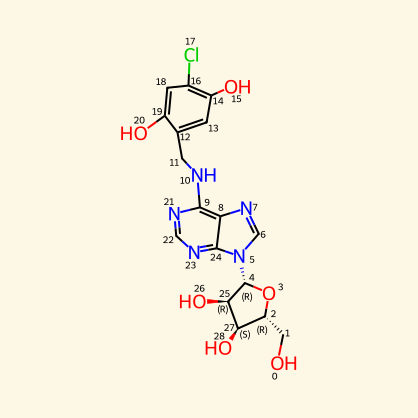 OC[C@H]1O[C@@H](n2cnc3c(NCc4cc(O)c(Cl)cc4O)ncnc32)[C@H](O)[C@@H]1O